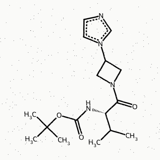 CC(C)[C@H](NC(=O)OC(C)(C)C)C(=O)N1CC(n2ccnc2)C1